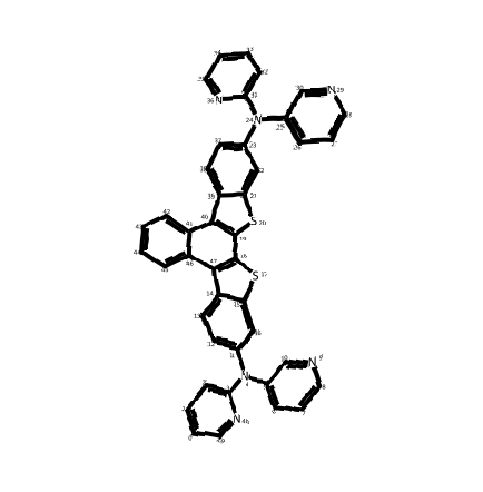 c1ccc(N(c2cccnc2)c2ccc3c(c2)sc2c4sc5cc(N(c6cccnc6)c6ccccn6)ccc5c4c4ccccc4c32)nc1